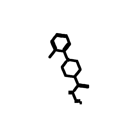 Cc1ccccc1N1CCC(C(=O)NN)CC1